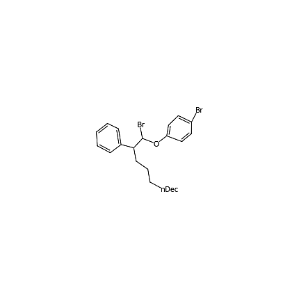 CCCCCCCCCCCCCC(c1ccccc1)C(Br)Oc1ccc(Br)cc1